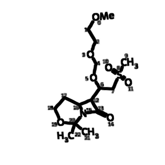 COCCOCOC(CS(C)(=O)=O)C1C(=O)N2C1CCOC2(C)C